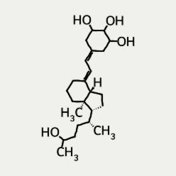 CC(O)CC[C@@H](C)[C@H]1CC[C@H]2/C(=C/C=C3CC(O)C(O)C(O)C3)CCC[C@]12C